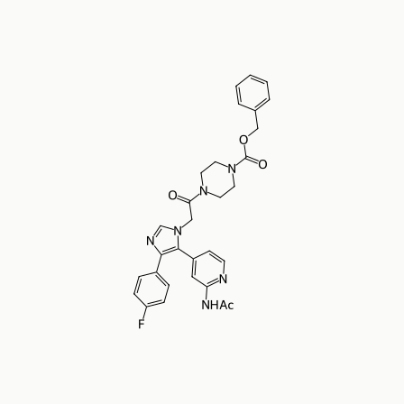 CC(=O)Nc1cc(-c2c(-c3ccc(F)cc3)ncn2CC(=O)N2CCN(C(=O)OCc3ccccc3)CC2)ccn1